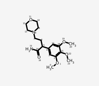 COc1cc(C(CCN2CCOCC2)C(N)=O)cc(OC)c1OC